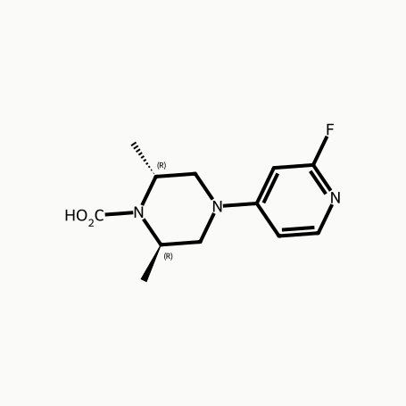 C[C@@H]1CN(c2ccnc(F)c2)C[C@@H](C)N1C(=O)O